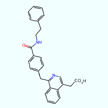 O=C(O)Cc1cnc(Cc2ccc(C(=O)NCCc3ccccc3)cc2)c2ccccc12